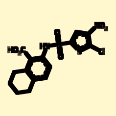 O=C(O)c1c(NS(=O)(=O)c2cc([N+](=O)[O-])c(Cl)s2)ccc2c1CCCC2